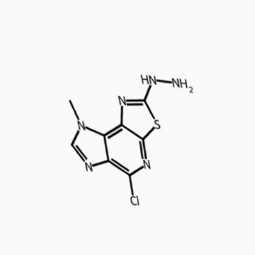 Cn1cnc2c(Cl)nc3sc(NN)nc3c21